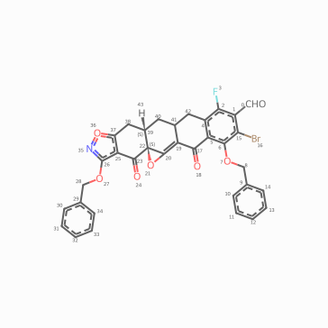 O=Cc1c(F)c2c(c(OCc3ccccc3)c1Br)C(=O)C1=C3O[C@]34C(=O)c3c(OCc5ccccc5)noc3C[C@@H]4CC1C2